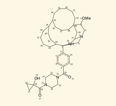 COC1CN2CC3(c4ccc(C(=O)N5CCN(C(=O)C6(O)CC6)CC5)cc4)NC2CC12CCCCCC(CCC2)C1CCCCC3CC1